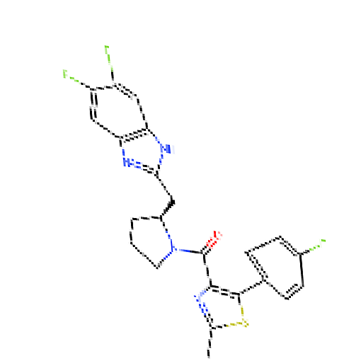 Cc1nc(C(=O)N2CCC[C@H]2Cc2nc3cc(F)c(F)cc3[nH]2)c(-c2ccc(F)cc2)s1